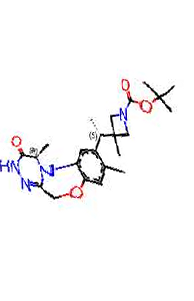 Cc1cc2c(cc1[C@H](C)C1(C)CN(C(=O)OC(C)(C)C)C1)N1C(=NNC(=O)[C@H]1C)CO2